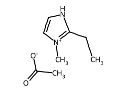 CC(=O)[O-].CCc1[nH]cc[n+]1C